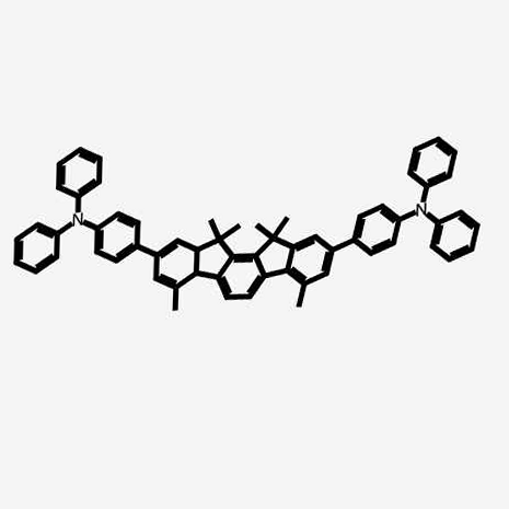 CC1=CC(c2ccc(N(c3ccccc3)c3ccccc3)cc2)=CC2C1c1ccc3c(c1C2(C)C)C(C)(C)c1cc(-c2ccc(N(c4ccccc4)c4ccccc4)cc2)cc(C)c1-3